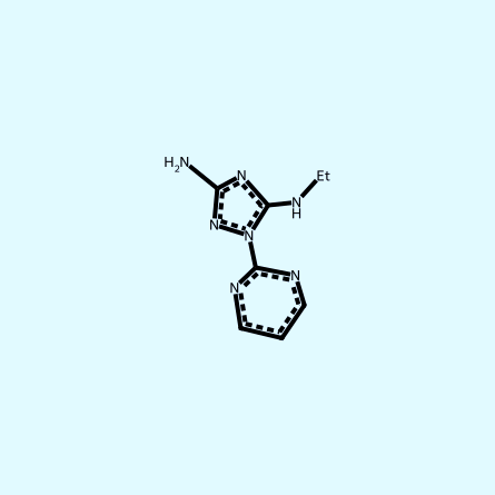 CCNc1nc(N)nn1-c1ncccn1